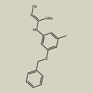 CS/C(=N\C#N)Nc1cc(C)cc(OCc2ccccc2)c1